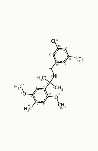 COc1cc(C(C)(C)NCc2cc(C)cc(Cl)c2)c(OC)cc1C